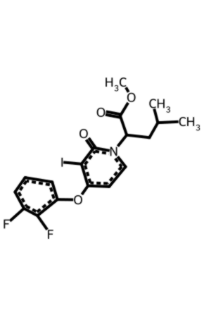 COC(=O)C(CC(C)C)n1ccc(Oc2cccc(F)c2F)c(I)c1=O